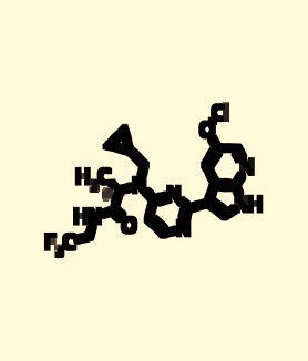 C[C@H](C(=O)NCC(F)(F)F)N(CC1CC1)c1ccnc(-c2c[nH]c3ncc(OCl)cc23)n1